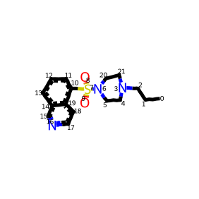 CCCN1CCN(S(=O)(=O)c2cccc3cnccc23)CC1